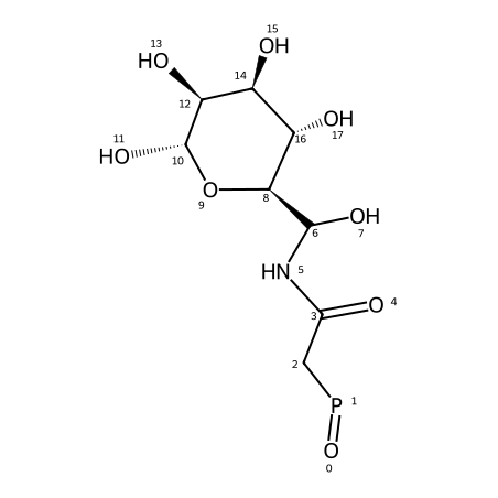 O=PCC(=O)NC(O)[C@H]1O[C@H](O)[C@@H](O)[C@@H](O)[C@@H]1O